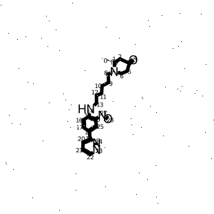 C[C@@H]1CC(=O)CCN1CCCCCCNc1ccc(-c2cccnn2)cc1N=O